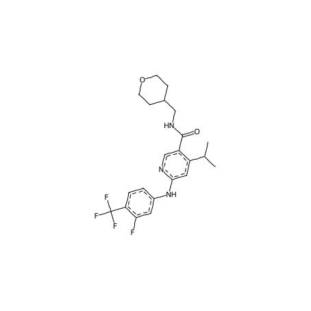 CC(C)c1cc(Nc2ccc(C(F)(F)F)c(F)c2)ncc1C(=O)NCC1CCOCC1